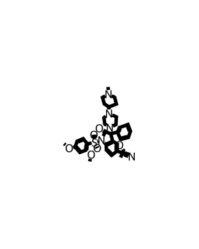 CCOc1ccccc1C1(N2CCN(C3CCN(C)CC3)CC2)C(=O)N(S(=O)(=O)c2ccc(OC)cc2OC)c2ccc(C#N)cc21